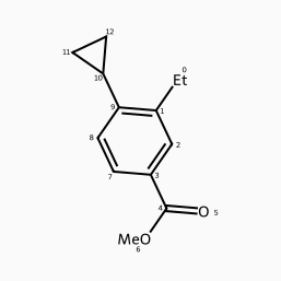 CCc1cc(C(=O)OC)ccc1C1CC1